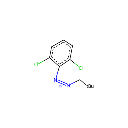 CC(C)(C)C/N=N\c1c(Cl)cccc1Cl